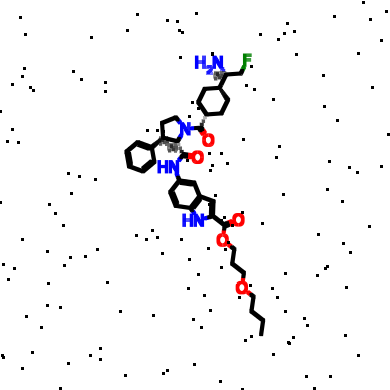 CCCCOCCCOC(=O)c1cc2cc(NC(=O)[C@@H]3[C@@H](c4ccccc4)CCN3C(=O)[C@H]3CC[C@H]([C@H](N)CF)CC3)ccc2[nH]1